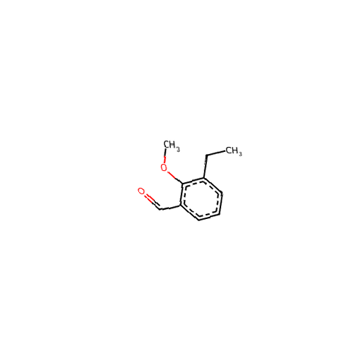 CCc1cccc(C=O)c1OC